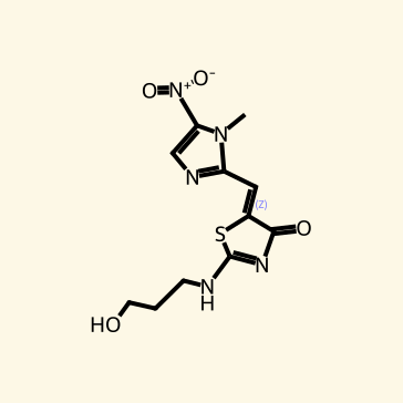 Cn1c([N+](=O)[O-])cnc1/C=C1\SC(NCCCO)=NC1=O